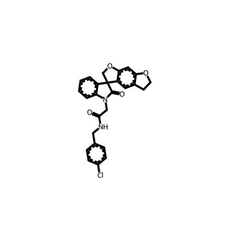 O=C(CN1C(=O)C2(COc3cc4c(cc32)CCO4)c2ccccc21)NCc1ccc(Cl)cc1